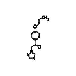 CCCOc1ccc(C(=O)Cn2cncn2)cc1